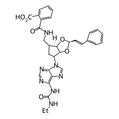 CCNC(=O)Nc1ncnc2c1ncn2C1CC(CNC(=O)c2ccccc2C(=O)O)[C@H]2O[C@@H](C=Cc3ccccc3)OC12